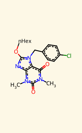 CCCCCCOc1nc2c(c(=O)n(C)c(=O)n2C)n1Cc1ccc(Cl)cc1